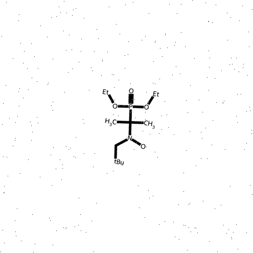 CCOP(=O)(OCC)C(C)(C)N([O])CC(C)(C)C